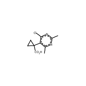 Cc1nc(C)c(C2(C(=O)O)CC2)c(Cl)n1